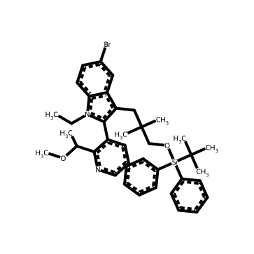 CCn1c(-c2cccnc2C(C)OC)c(CC(C)(C)CO[Si](c2ccccc2)(c2ccccc2)C(C)(C)C)c2cc(Br)ccc21